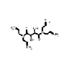 C=CCN(CC=C)C(=O)C(O)C(O)C(=O)N(CC=C)CC=C